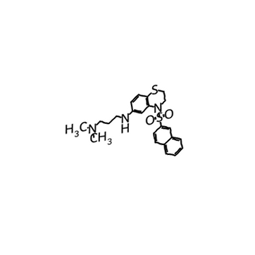 CN(C)CCCNc1ccc2c(c1)N(S(=O)(=O)c1ccc3ccccc3c1)CCS2